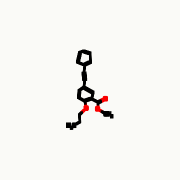 CCCOc1ccc(C#Cc2ccccc2)cc1C(=O)OC